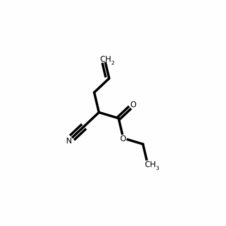 C=CCC(C#N)C(=O)OCC